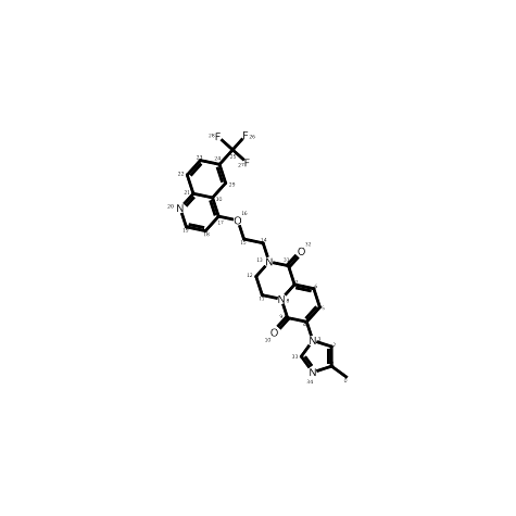 Cc1cn(-c2ccc3n(c2=O)CCN(CCOc2ccnc4ccc(C(F)(F)F)cc24)C3=O)cn1